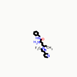 C=C/C(=C\C=C(/N)C(=O)NCc1ccccc1)n1nc(-c2cccnc2)cc1C(F)(F)F